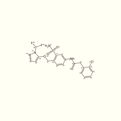 NS(=O)(=O)c1cc(NC(=O)Cc2ccccc2Cl)ccc1COc1ccnn1C(F)F